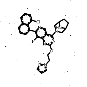 Fc1c(-c2cccc3cccc(Cl)c23)ncc2c(N3CC4CCC(C3)N4)nc(OCCn3cccn3)nc12